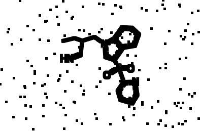 CCC(C=N)Cn1cc(S(=O)(=O)c2ccccn2)c2ccccc21